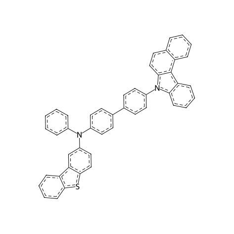 c1ccc(N(c2ccc(-c3ccc(-n4c5ccccc5c5c6ccccc6ccc54)cc3)cc2)c2ccc3sc4ccccc4c3c2)cc1